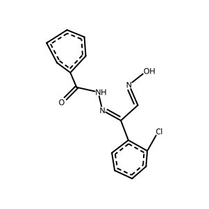 O=C(NN=C(C=NO)c1ccccc1Cl)c1ccccc1